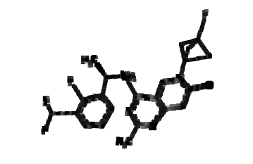 Cc1nc(N[C@H](C)c2cccc(C(F)F)c2F)c2cn(C34CC(F)(C3)C4)c(=O)cc2n1